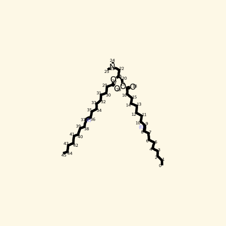 CCCCCCCC/C=C/CCCCCCCC(=O)OC[C@H](CN(C)C)OC(=O)CCCCCCC/C=C/CCCCCCCC